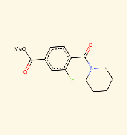 COC(=O)c1ccc(C(=O)N2CCCCC2)c(F)c1